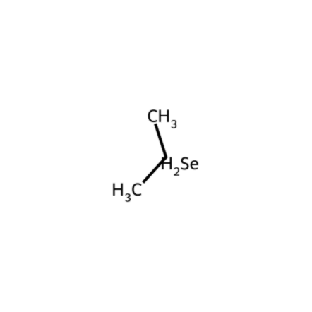 CCC.[SeH2]